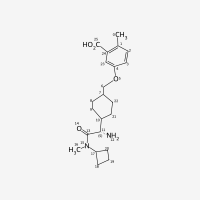 Cc1ccc(OCC2CCC([C@H](N)C(=O)N(C)C3CCC3)CC2)cc1C(=O)O